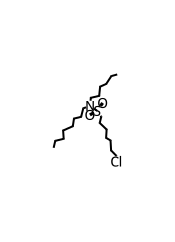 CCCCCCCCN(CCCCCC)S(=O)(=O)CCCCCCCCl